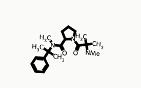 CNC(C)(C)C(=O)N1CCCC1C(=O)N(C)C(C)(C)c1ccccc1